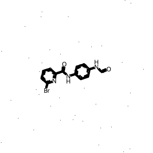 O=CNc1ccc(NC(=O)c2cccc(Br)n2)cc1